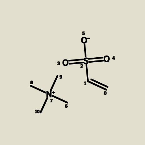 C=CS(=O)(=O)[O-].C[N+](C)(C)C